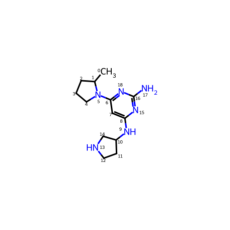 CC1CCCN1c1cc(NC2CCNC2)nc(N)n1